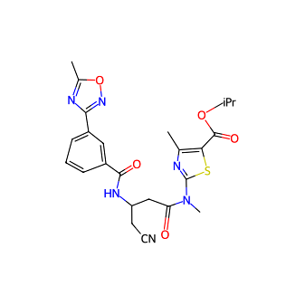 Cc1nc(-c2cccc(C(=O)NC(CC#N)CC(=O)N(C)c3nc(C)c(C(=O)OC(C)C)s3)c2)no1